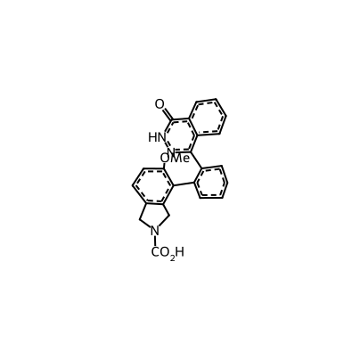 COc1ccc2c(c1-c1ccccc1-c1n[nH]c(=O)c3ccccc13)CN(C(=O)O)C2